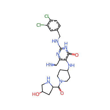 N=Cc1nc(NCc2ccc(Cl)c(Cl)c2)[nH]c(=O)c1NC1CCN(C(=O)C2CC(O)CN2)CC1